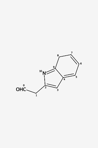 O=CCC1=CC2=CC=CCC2=N1